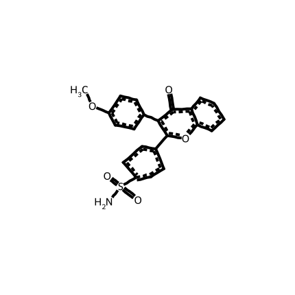 COc1ccc(-c2c(-c3ccc(S(N)(=O)=O)cc3)oc3ccccc3c2=O)cc1